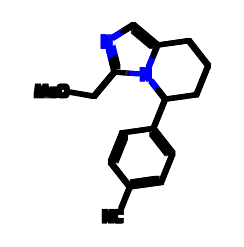 COCc1ncc2n1C(c1ccc(C#N)cc1)CCC2